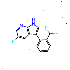 Fc1cnc2[nH]cc(-c3ccccc3C(F)F)c2c1